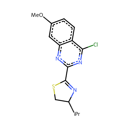 COc1ccc2c(Cl)nc(C3=NC(C(C)C)CS3)nc2c1